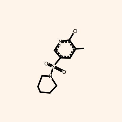 Cc1cc(S(=O)(=O)N2CCCCC2)cnc1Cl